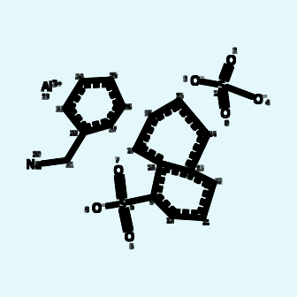 O=S(=O)([O-])[O-].O=S(=O)([O-])c1cccc2ccccc12.[Al+3].[Na][CH2]c1ccccc1